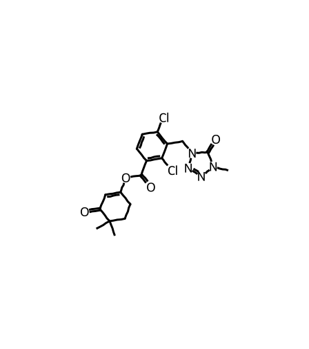 Cn1nnn(Cc2c(Cl)ccc(C(=O)OC3=CC(=O)C(C)(C)CC3)c2Cl)c1=O